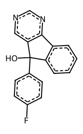 OC1(c2ccc(F)cc2)c2ccccc2-c2ncncc21